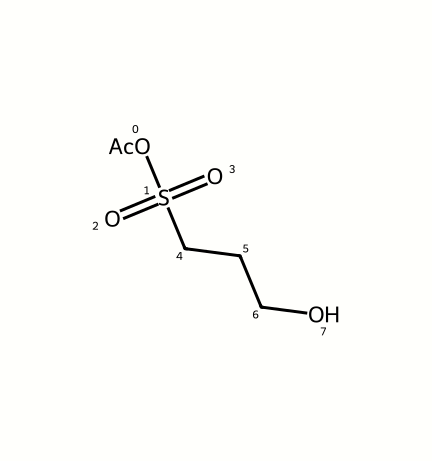 CC(=O)OS(=O)(=O)CCCO